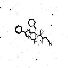 N#CCC(N)C(=O)N1CCn2cc(-c3ccccc3)nc2[C@@H]1CC1CCCCC1